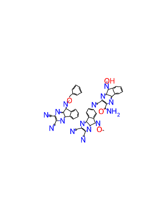 CON=C1c2ccccc2-c2nc(C#N)c(C#N)nc21.N#Cc1nc2c(nc1C#N)-c1ccccc1C2=NOCc1ccccc1.N#Cc1nc2c(nc1C(N)=O)-c1ccccc1C2=NO